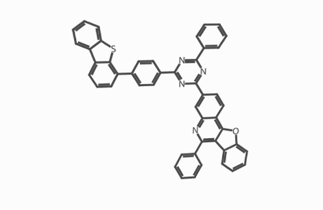 c1ccc(-c2nc(-c3ccc(-c4cccc5c4sc4ccccc45)cc3)nc(-c3ccc4c(c3)nc(-c3ccccc3)c3c5ccccc5oc43)n2)cc1